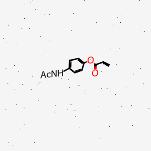 C=CC(=O)Oc1ccc(NC(C)=O)cc1